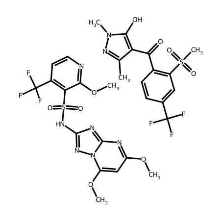 COc1cc(OC)n2nc(NS(=O)(=O)c3c(C(F)(F)F)ccnc3OC)nc2n1.Cc1nn(C)c(O)c1C(=O)c1ccc(C(F)(F)F)cc1S(C)(=O)=O